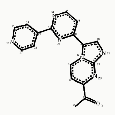 CC(=O)c1ccn2c(-c3ccnc(-c4ccncc4)n3)cnc2n1